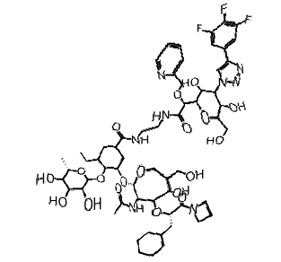 CCC1CC(C(=O)NCCNC(=O)[C@@H](OCc2ccccn2)[C@@H]2OC(CO)[C@H](O)C(n3cc(-c4cc(F)c(F)c(F)c4)nn3)C2O)C[C@@H](O[C@@H]2OCC(CO)[C@H](O)C(O[C@@H](CC3CCCCC3)C(=O)N3CCC3)C2NC(C)=O)C1OC1O[C@@H](C)C(O)C(O)[C@@H]1O